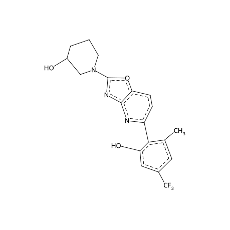 Cc1cc(C(F)(F)F)cc(O)c1-c1ccc2oc(N3CCCC(O)C3)nc2n1